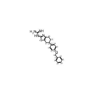 N=C(N)Nc1nc2c(s1)CC(c1ccc(OCc3ccccc3)cc1)CC2